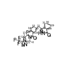 CC1c2nnc(C(F)(F)F)n2C(C)(C)CN1C(=O)c1cc(Cc2n[nH]c(=O)c3ccccc23)ccc1F